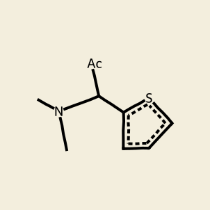 CC(=O)C(c1cccs1)N(C)C